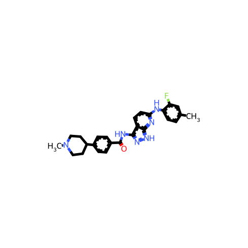 Cc1ccc(Nc2ccc3c(NC(=O)c4ccc(C5CCN(C)CC5)cc4)n[nH]c3n2)c(F)c1